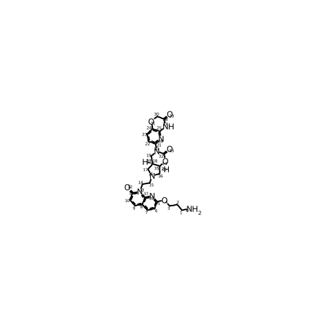 NCCCOc1ccc2ccc(=O)n(CCN3C[C@@H]4CN(c5ccc6c(n5)NC(=O)CO6)C(=O)O[C@H]4C3)c2n1